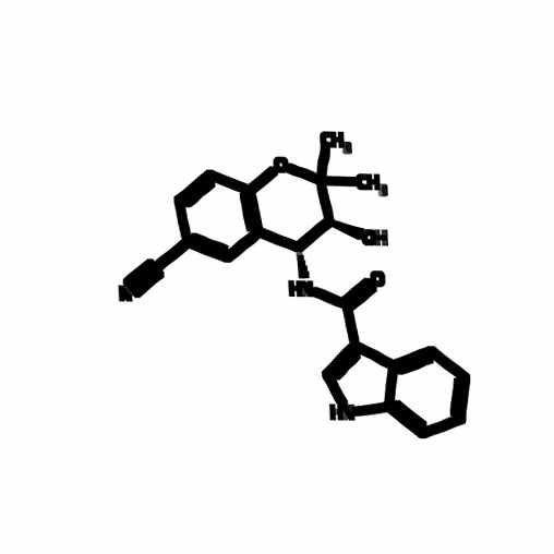 CC1(C)Oc2ccc(C#N)cc2[C@@H](NC(=O)c2c[nH]c3ccccc23)[C@@H]1O